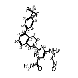 C[C@@H](CN=O)Nc1cc(C(N)=O)nc(N2CCc3c(cccc3-c3ccc(C(F)(F)F)cc3)C2)n1